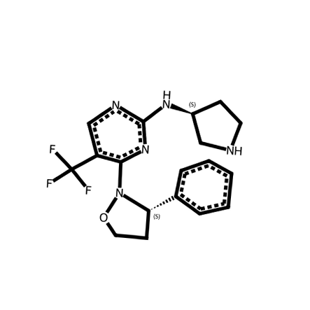 FC(F)(F)c1cnc(N[C@H]2CCNC2)nc1N1OCC[C@H]1c1ccccc1